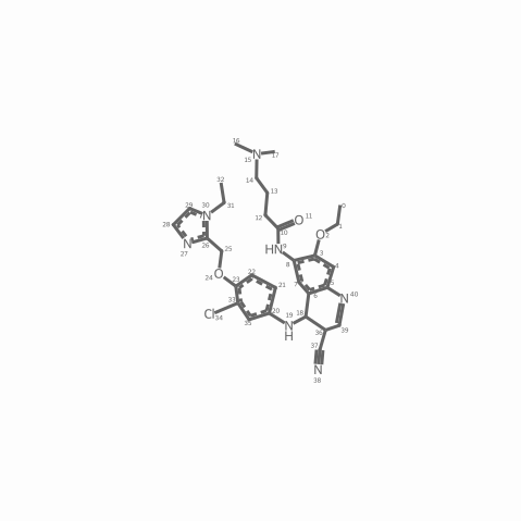 CCOc1cc2c(cc1NC(=O)CCCN(C)C)C(Nc1ccc(OCc3nccn3CC)c(Cl)c1)C(C#N)C=N2